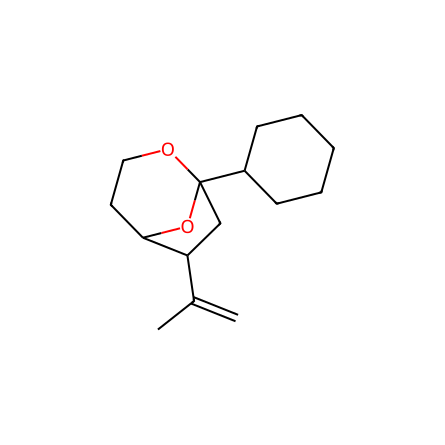 C=C(C)C1CC2(C3CCCCC3)OCCC1O2